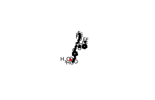 CCOC(Cc1ccc(OCCN(CCCOC(F)(F)C(F)(F)F)C(=O)Oc2ccccc2OC(F)(F)F)cc1)C(=O)O